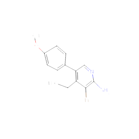 CCc1c(-c2ccc(OC)cc2)cnc(N)c1Br